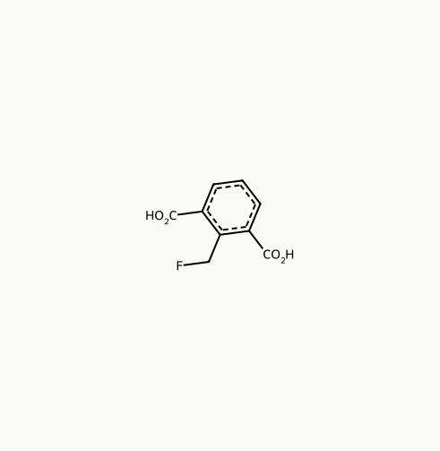 O=C(O)c1cccc(C(=O)O)c1CF